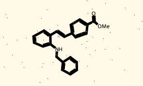 COC(=O)c1ccc(/C=C/c2ccccc2NCc2ccccc2)cc1